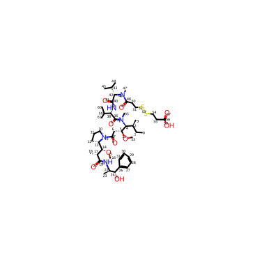 CC[C@H](C)[C@@H]([C@@H](CC(=O)N1CCC[C@H]1[C@H](OC)[C@@H](C)C(=O)N[C@H](C)[C@@H](O)c1ccccc1)OC)N(C)C(=O)[C@@H](NC(=O)[C@H](C(C)C)N(C)C(=O)CCSSCCC(=O)O)C(C)C